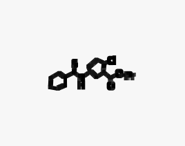 CC(C)OC(=O)c1cc(NC(=S)c2ccccc2)ccc1Cl